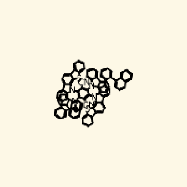 N#Cc1c(-n2c3ccccc3c3ccccc32)c(-n2c3cc(-c4ccccc4-c4cccc5ccccc45)ccc3c3ccc4c5ccccc5sc4c32)c(C#N)c(-n2c3ccccc3c3ccccc32)c1-n1c2cc(-c3ccccc3-c3ccccc3)ccc2c2ccc3c4ccccc4sc3c21